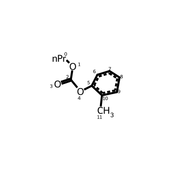 CCCOC(=O)Oc1ccccc1C